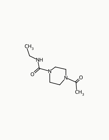 CCNC(=O)N1CCN(C(C)=O)CC1